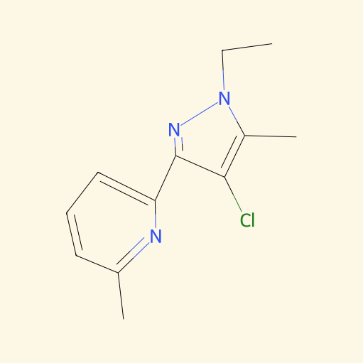 CCn1nc(-c2cccc(C)n2)c(Cl)c1C